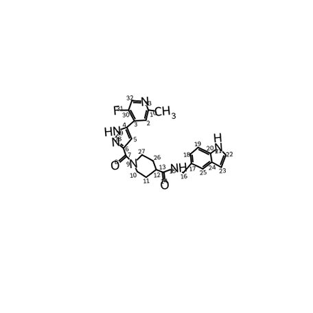 Cc1cc(-c2cc(C(=O)N3CCC(C(=O)NCc4ccc5[nH]ccc5c4)CC3)n[nH]2)c(F)cn1